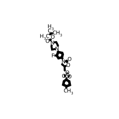 Cc1ccc(S(=O)(=O)OCC2CN(c3ccc(N4CCN(C(=O)OC(C)(C)C)CC4)c(F)c3)C(=O)O2)cc1